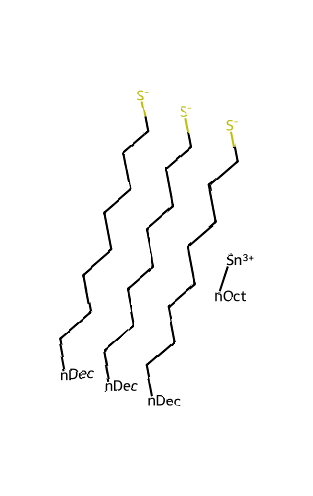 CCCCCCCCCCCCCCCCCC[S-].CCCCCCCCCCCCCCCCCC[S-].CCCCCCCCCCCCCCCCCC[S-].CCCCCCC[CH2][Sn+3]